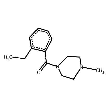 CCc1ccccc1C(=O)N1CCN(C)CC1